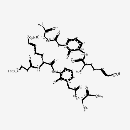 CCOC(=O)/C=C/CC[C@H](NC(=O)CCC(=O)O)C(=O)Nc1cccn(CC(=O)N[C@H](C(=O)OC)[C@H](C)CC)c1=O.CC[C@@H](C)[C@H](NC(=O)Cn1cccc(NC(=O)C(CC/C=C/C(=O)O)NC(C)=O)c1=O)C(=O)OC